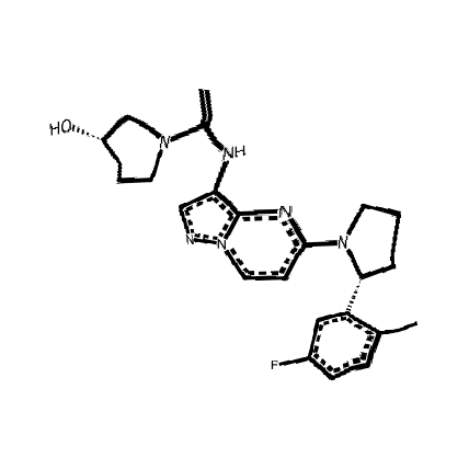 C=C(Nc1cnn2ccc(N3CCC[C@@H]3c3cc(F)ccc3C)nc12)N1CC[C@H](O)C1